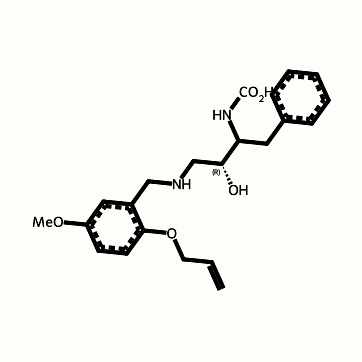 C=CCOc1ccc(OC)cc1CNC[C@@H](O)C(Cc1ccccc1)NC(=O)O